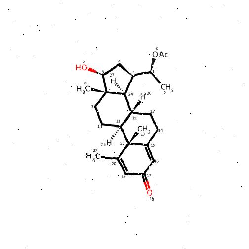 CC(=O)O[C@@H](C)[C@@H]1C[C@H](O)[C@@]2(C)CC[C@H]3[C@@H](CCC4=CC(=O)C=C(C)[C@@]43C)[C@H]12